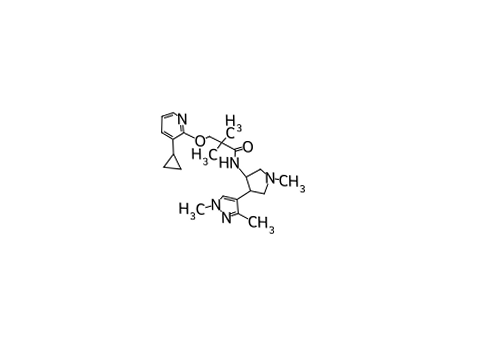 Cc1nn(C)cc1C1CN(C)CC1NC(=O)C(C)(C)COc1ncccc1C1CC1